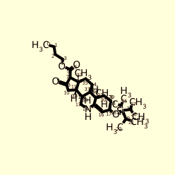 CCCCOC(=O)C1C(=O)C[C@H]2[C@@H]3CNC4=CC(O[Si](C(C)C)(C(C)C)C(C)C)CC[C@]4(C)[C@@H]3CC[C@]12C